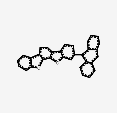 c1ccc2c(-c3ccc4c(c3)oc3c4ccc4c5ccccc5oc43)c3ccccc3cc2c1